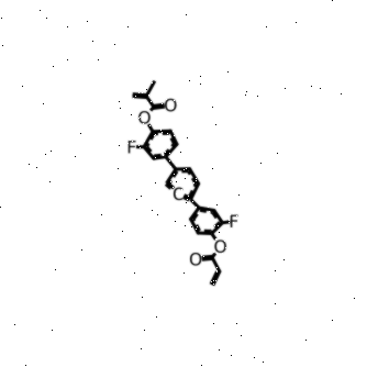 C=CC(=O)Oc1ccc(-c2ccc(-c3ccc(OC(=O)C(=C)C)c(F)c3)cc2)cc1F